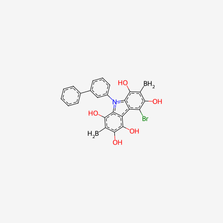 Bc1c(O)c(O)c2c3c(Br)c(O)c(B)c(O)c3n(-c3cccc(-c4ccccc4)c3)c2c1O